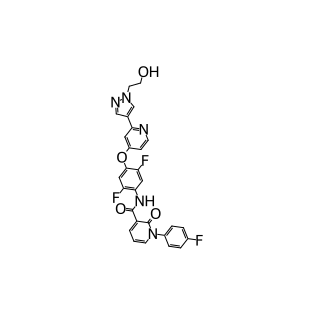 O=C(Nc1cc(F)c(Oc2ccnc(-c3cnn(CCO)c3)c2)cc1F)c1cccn(-c2ccc(F)cc2)c1=O